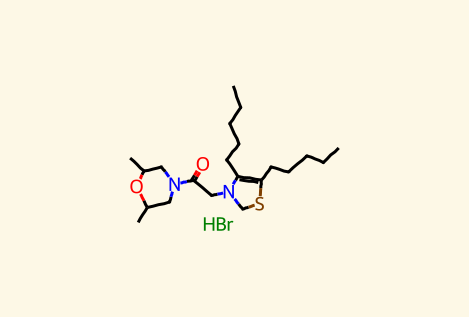 Br.CCCCCC1=C(CCCCC)N(CC(=O)N2CC(C)OC(C)C2)CS1